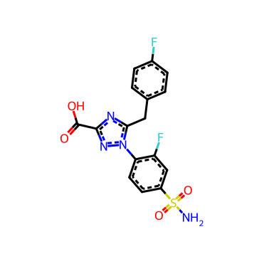 NS(=O)(=O)c1ccc(-n2nc(C(=O)O)nc2Cc2ccc(F)cc2)c(F)c1